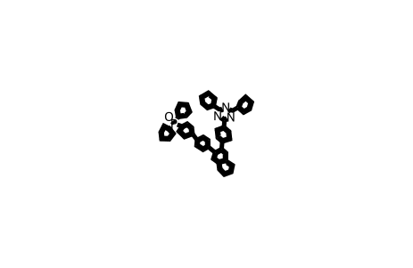 O=P(c1ccccc1)(c1ccccc1)c1ccc(-c2ccc(-c3cc4ccccc4cc3-c3ccc(-c4nc(-c5ccccc5)nc(-c5ccccc5)n4)cc3)cc2)cc1